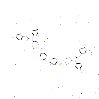 Cc1ccc(CC(=O)N(c2ccc(Cl)cc2)C2CCN(S(=O)(=O)c3ccc(Cc4ccc(S(=O)(=O)N5CCC(N(C(=O)Cc6ccc(C)cc6)c6ccc(Cl)cc6)CC5)cc4)cc3)CC2)cc1